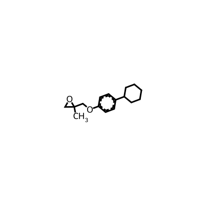 CC1(COc2ccc(C3CCCCC3)cc2)CO1